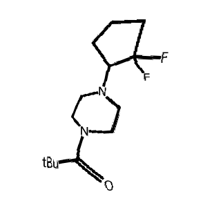 CC(C)(C)C(=O)N1CCN(C2CCCC2(F)F)CC1